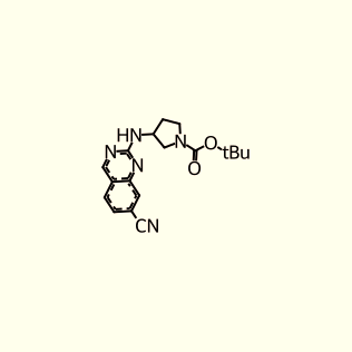 CC(C)(C)OC(=O)N1CCC(Nc2ncc3ccc(C#N)cc3n2)C1